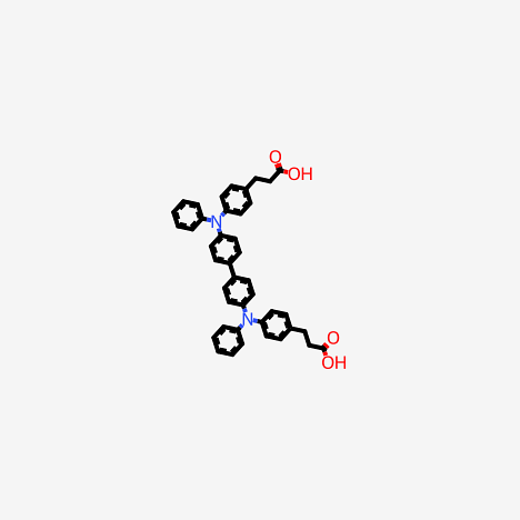 O=C(O)CCc1ccc(N(c2ccccc2)c2ccc(-c3ccc(N(c4ccccc4)c4ccc(CCC(=O)O)cc4)cc3)cc2)cc1